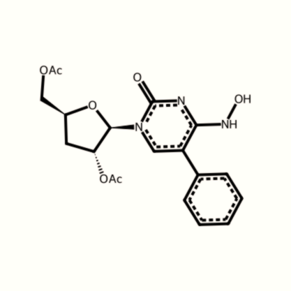 CC(=O)OC[C@@H]1C[C@@H](OC(C)=O)[C@H](n2cc(-c3ccccc3)c(NO)nc2=O)O1